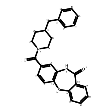 O=C1Nc2cc(C(=O)N3CCC(Cc4ccccc4)CC3)ccc2Sc2ccccc21